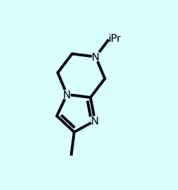 Cc1cn2c(n1)CN(C(C)C)CC2